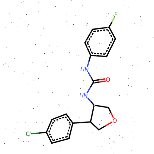 O=C(Nc1ccc(F)cc1)NC1COCC1c1ccc(Cl)cc1